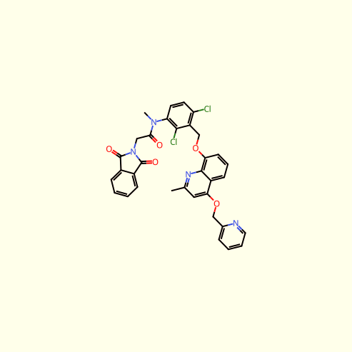 Cc1cc(OCc2ccccn2)c2cccc(OCc3c(Cl)ccc(N(C)C(=O)CN4C(=O)c5ccccc5C4=O)c3Cl)c2n1